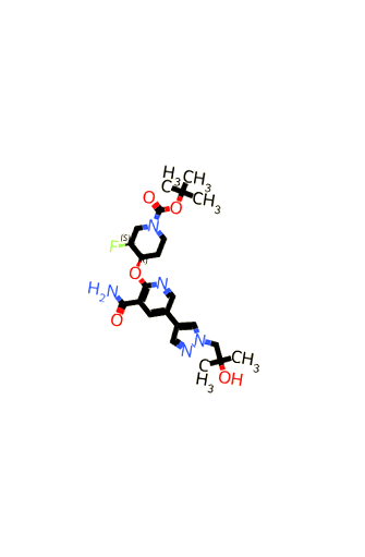 CC(C)(O)Cn1cc(-c2cnc(O[C@@H]3CCN(C(=O)OC(C)(C)C)C[C@@H]3F)c(C(N)=O)c2)cn1